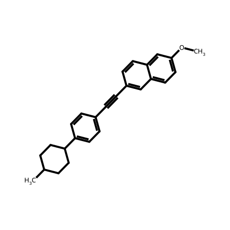 COc1ccc2cc(C#Cc3ccc(C4CCC(C)CC4)cc3)ccc2c1